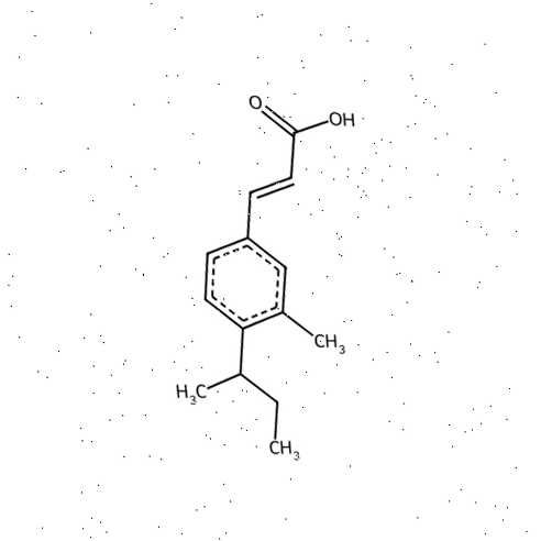 CCC(C)c1ccc(/C=C/C(=O)O)cc1C